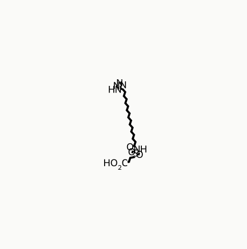 O=C(O)CCCS(=O)(=O)NC(=O)CCCCCCCCCCCCCCCc1nnn[nH]1